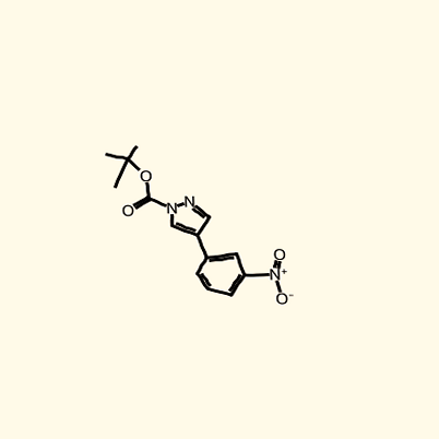 CC(C)(C)OC(=O)n1cc(-c2cccc([N+](=O)[O-])c2)cn1